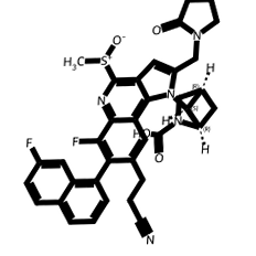 C[S+]([O-])c1nc2c(F)c(-c3cccc4ccc(F)cc34)c(CCC#N)cc2c2c1cc(CN1CCCC1=O)n2[C@H]1[C@@H]2C[C@H]1N(C(=O)O)C2